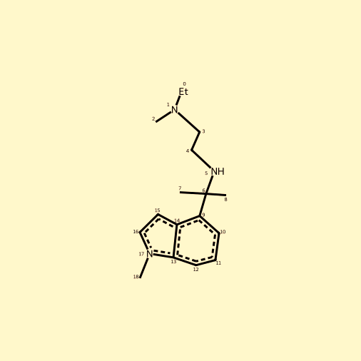 CCN(C)CCNC(C)(C)c1cccc2c1ccn2C